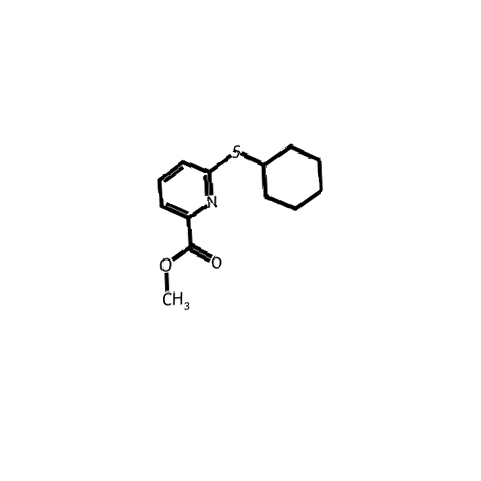 COC(=O)c1cccc(SC2CCCCC2)n1